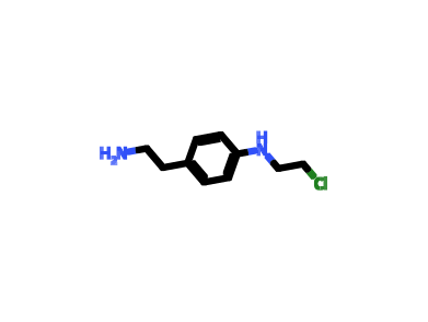 NCCc1ccc(NCCCl)cc1